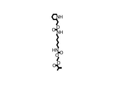 C=C(C)C(=O)OCCOC(=O)NCCCCCCNC(=O)OCCC1CCCCN1